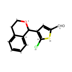 O=Cc1cc(C2OCCc3ccccc32)c(Cl)s1